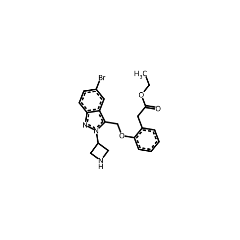 CCOC(=O)Cc1ccccc1OCc1c2cc(Br)ccc2nn1C1CNC1